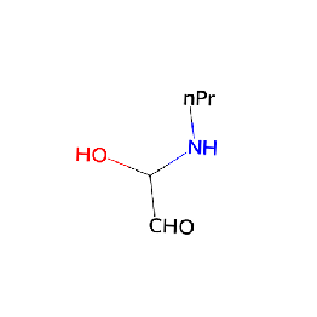 CCCNC(O)C=O